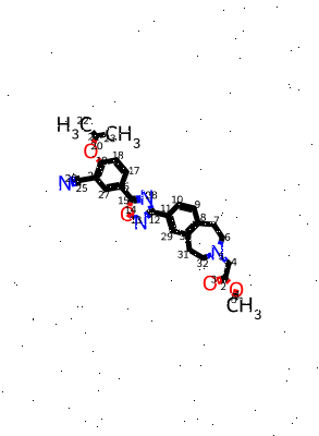 COC(=O)CN1CCc2ccc(-c3noc(-c4ccc(OC(C)C)c(C#N)c4)n3)cc2CC1